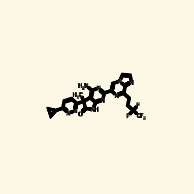 CC1(c2ccc(C3CC3)nn2)C(=O)Nc2nc(-c3cn4ccnc4c(CCC(F)(F)C(F)(F)F)n3)nc(N)c21